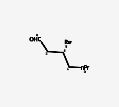 CCCCCCC=O.[Re]